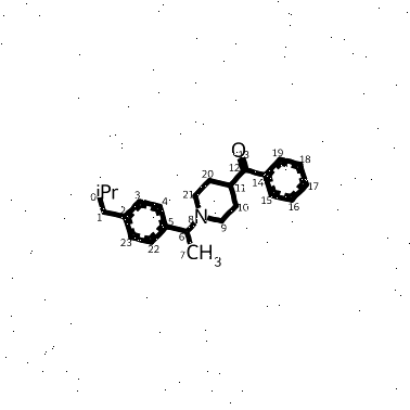 CC(C)Cc1ccc(C(C)N2CCC(C(=O)c3ccccc3)CC2)cc1